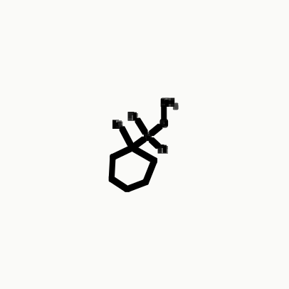 CCC1([Si](CC)(CC)O[SiH3])CCCCC1